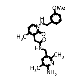 COc1cccc(CNn2ccc(C)c(CC(=O)NCc3cc(C)c(N)nc3C)c2=O)c1